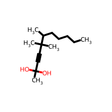 CCCCCC(C)C(C)(C)C#CC(C)(O)O